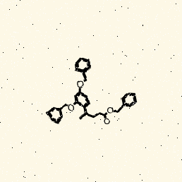 CC(CCC(=O)OCc1ccccc1)c1ccc(OCc2ccccc2)cc1OCc1ccccc1